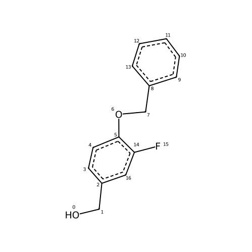 OCc1ccc(OCc2ccccc2)c(F)c1